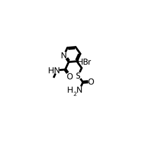 Br.CNC(=O)c1ncccc1CSC(N)=O